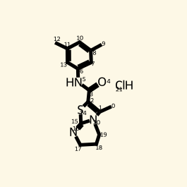 CC1=C(C(=O)Nc2cc(C)cc(C)c2)SC2=NCCCN21.Cl